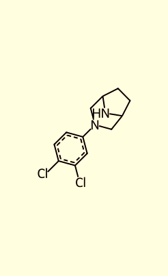 Clc1ccc(N2CC3CCC(C2)N3)cc1Cl